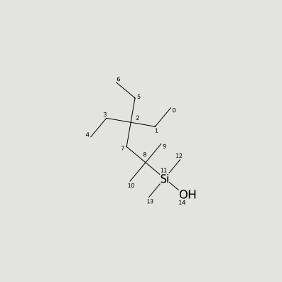 CCC(CC)(CC)CC(C)(C)[Si](C)(C)O